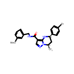 CCc1ccc([C@H]2C[C@@H](C(F)(F)F)n3ncc(C(=O)NCc4cccc(OC)c4)c3N2)cc1